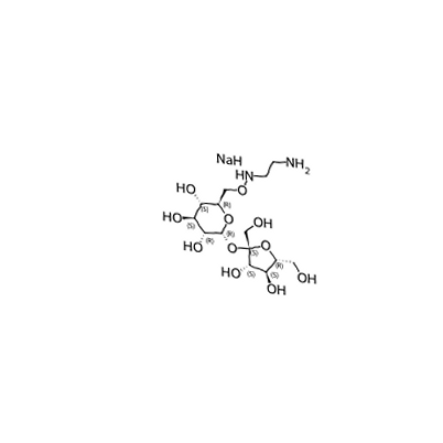 NCCNOC[C@H]1O[C@H](O[C@]2(CO)O[C@H](CO)[C@@H](O)[C@@H]2O)[C@H](O)[C@@H](O)[C@@H]1O.[NaH]